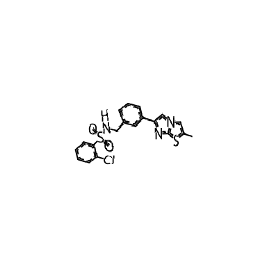 Cc1cn2cc(-c3cccc(CNS(=O)(=O)c4ccccc4Cl)c3)nc2s1